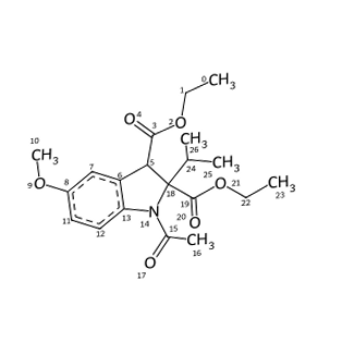 CCOC(=O)C1c2cc(OC)ccc2N(C(C)=O)C1(C(=O)OCC)C(C)C